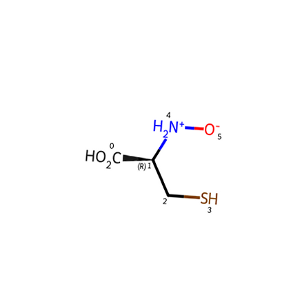 O=C(O)[C@H](CS)[NH2+][O-]